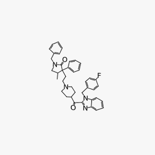 CC1CN(Cc2ccccc2)C(=O)C1(CCN1CCC(C(=O)c2nc3ccccc3n2Cc2ccc(F)cc2)CC1)c1ccccc1